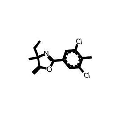 C=C1OC(c2cc(Cl)c(C)c(Cl)c2)=NC1(C)CC